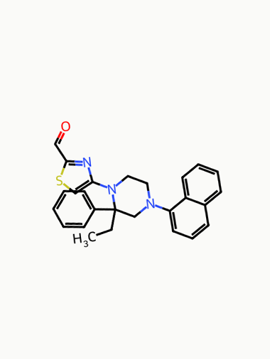 CCC1(c2ccccc2)CN(c2cccc3ccccc23)CCN1c1csc(C=O)n1